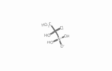 O=C(O)C(O)(Cl)[N+]([O-])(O)O